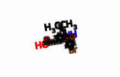 CC(C)CCC(NS(=O)(=O)c1ccc(Br)cc1)c1ccc(CCCC(=O)O)cc1